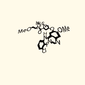 COCCNC(=O)[C@@H]1C[C@H](Oc2cc3c(Nc4cccc(Cl)c4F)ncnc3cc2OC)CN1C